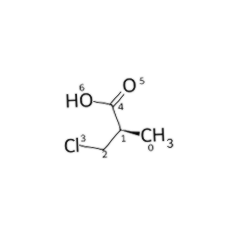 C[C@@H](CCl)C(=O)O